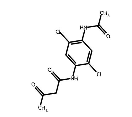 CC(=O)CC(=O)Nc1cc(Cl)c(NC(C)=O)cc1Cl